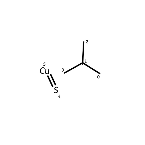 C[C](C)C.[S]=[Cu]